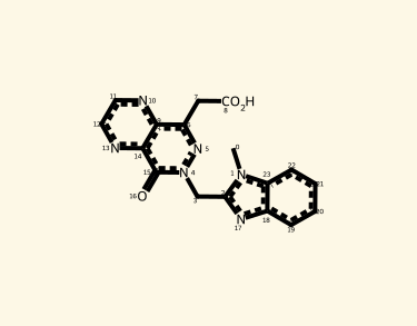 Cn1c(Cn2nc(CC(=O)O)c3nccnc3c2=O)nc2ccccc21